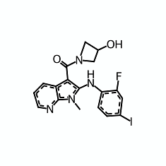 Cn1c(Nc2ccc(I)cc2F)c(C(=O)N2CC(O)C2)c2cccnc21